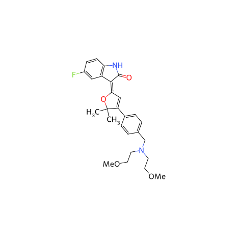 COCCN(CCOC)Cc1ccc(C2=C/C(=C3\C(=O)Nc4ccc(F)cc43)OC2(C)C)cc1